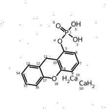 O=P(O)(O)Oc1cccc2c1Cc1ccccc1O2.[CaH2].[CaH2]